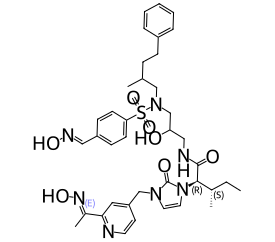 CC[C@H](C)[C@H](C(=O)NCC(O)CN(CC(C)CCc1ccccc1)S(=O)(=O)c1ccc(C=NO)cc1)n1ccn(Cc2ccnc(/C(C)=N/O)c2)c1=O